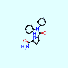 NC(=O)c1ccc(C(=O)N(c2ccccc2)c2ccccc2)[nH]1